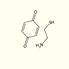 NCCS.O=C1C=CC(=O)C=C1